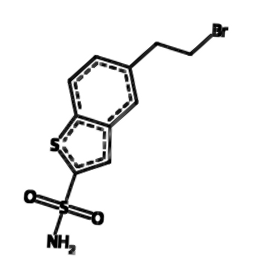 NS(=O)(=O)c1cc2cc(CCBr)ccc2s1